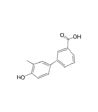 Cc1cc(-c2cccc(C(=O)O)c2)ccc1O